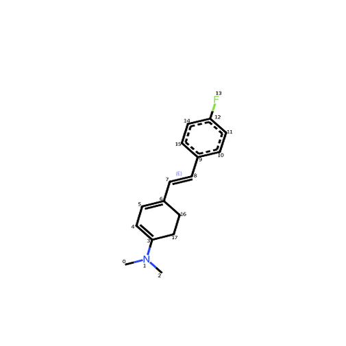 CN(C)C1=CC=C(/C=C/c2ccc(F)cc2)CC1